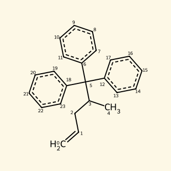 C=CCC(C)C(c1ccccc1)(c1ccccc1)c1ccccc1